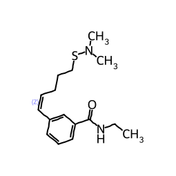 CCNC(=O)c1cccc(/C=C\CCCSN(C)C)c1